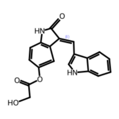 O=C(CO)Oc1ccc2c(c1)/C(=C\c1c[nH]c3ccccc13)C(=O)N2